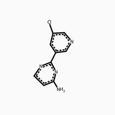 Nc1ccnc(-c2cncc(Cl)c2)n1